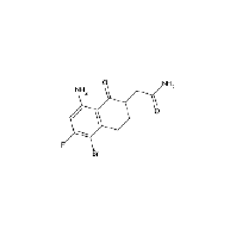 NC(=O)CC1CCc2c(Br)c(F)cc(N)c2C1=O